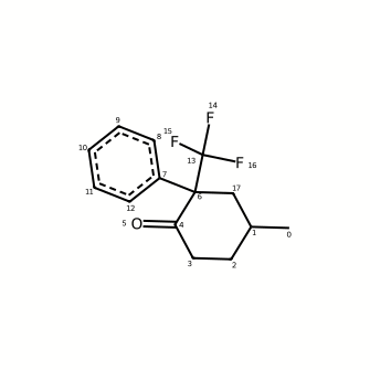 CC1CCC(=O)C(c2ccccc2)(C(F)(F)F)C1